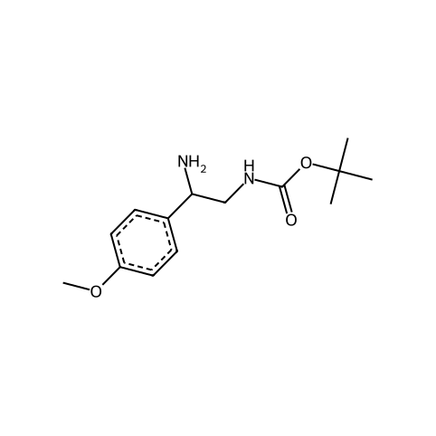 COc1ccc(C(N)CNC(=O)OC(C)(C)C)cc1